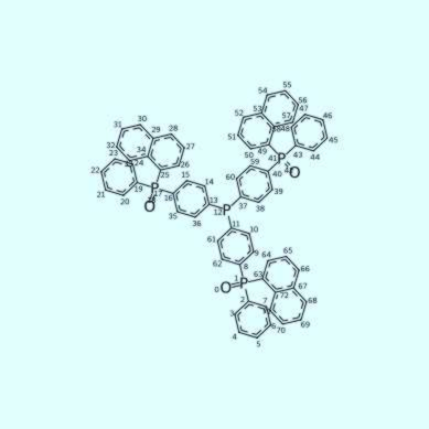 O=P(c1ccccc1)(c1ccc(P(c2ccc(P(=O)(c3ccccc3)c3cccc4ccccc34)cc2)c2ccc(P(=O)(c3ccccc3)c3cccc4ccccc34)cc2)cc1)c1cccc2ccccc12